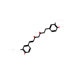 COc1cc(/C=C/C(=O)CC(=O)CCc2ccc(O)c(OC)c2)ccc1O